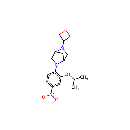 CC(C)Oc1cc([N+](=O)[O-])ccc1N1CC2CC1CN2C1COC1